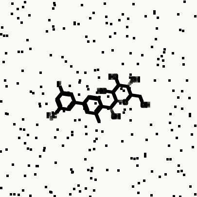 Cc1cc(-c2cc(F)cc(C(F)(F)F)c2)ccc1[C@@H](O)[C@H]1OC(CO)[C@@H](O)C(O)C1O